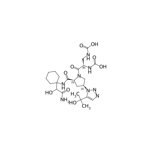 CC(C)(O)c1cnnn1[C@H]1C[C@@H](C(=O)NC2(C(O)C(N)=O)CCCCC2)N(C(=O)[C@@H](CNC(=O)O)NC(=O)O)C1